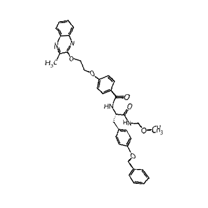 COCNC(=O)[C@H](Cc1ccc(OCc2ccccc2)cc1)NC(=O)c1ccc(OCCOc2nc3ccccc3nc2C)cc1